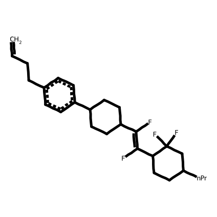 C=CCCc1ccc(C2CCC(/C(F)=C(\F)C3CCC(CCC)CC3(F)F)CC2)cc1